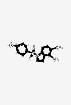 COc1ccc2c(ccn2S(=O)(=O)c2ccc(C)cc2)c1N